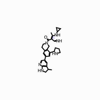 C/C(NC1CC1)=C(/C=N)C(=O)N1CCc2cc(-c3cnc4c(c3)C(C)CN4)cc(C3CCCN3)c2C1